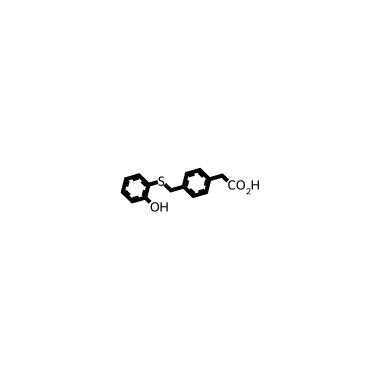 O=C(O)Cc1ccc(CSc2ccccc2O)cc1